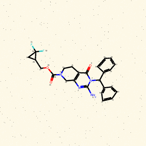 Nc1nc2c(c(=O)n1C(c1ccccc1)c1ccccc1)CCN(C(=O)OCC1CC1(F)F)C2